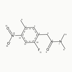 Cc1cc(CC(=O)N(C)C)c(F)cc1[N+](=O)[O-]